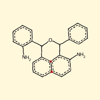 Nc1ccccc1C(OC(c1ccccc1)c1ccccc1N)c1ccccc1